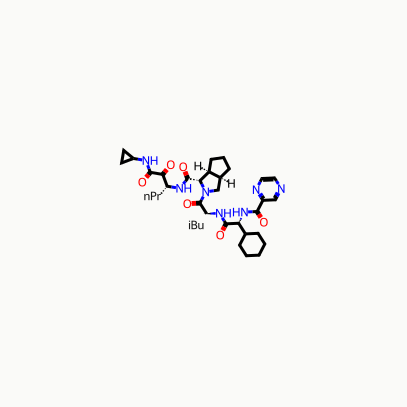 CCC[C@@H](NC(=O)[C@@H]1[C@H]2CCC[C@H]2CN1C(=O)[C@@H](NC(=O)[C@H](NC(=O)c1cnccn1)C1CCCCC1)[C@H](C)CC)C(=O)C(=O)NC1CC1